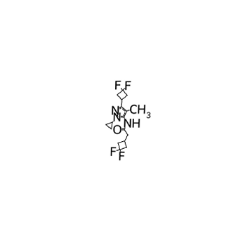 Cc1c(C2CC(F)(F)C2)nn(C2CC2)c1NC(=O)CC1CC(F)(F)C1